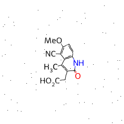 COc1ccc2[nH]c(=O)c(CC(=O)O)c(C)c2c1C#N